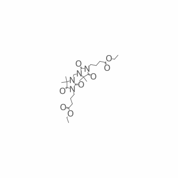 CCOC(=O)CCCN1C(=O)N(CN2C(=O)N(CCCC(=O)OCC)C(=O)C2(C)C)C(C)(C)C1=O